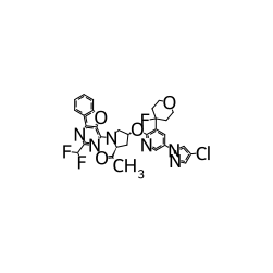 CC(=O)[C@@H]1C[C@H](Oc2ncc(-n3cc(Cl)cn3)cc2C2(F)CCOCC2)CN1c1nc(C(F)F)nc2c1oc1ccccc12